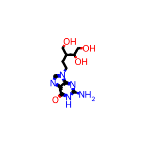 Nc1nc2c(ncn2CCC(CO)C(O)CO)c(=O)[nH]1